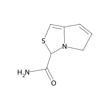 NC(=O)C1SC=C2C=CCN21